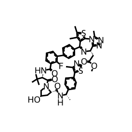 COC(=O)C[C@@H]1N=C(c2ccc(-c3cccc(C(=O)N[C@H](C(=O)N4C[C@H](O)C[C@H]4C(=O)N[C@@H](C)c4ccc(-c5scnc5C)cc4)C(C)(C)C)c3F)cc2)c2c(sc(C)c2C)-n2c(C)nnc21